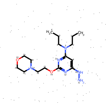 CCCN(CCC)c1cc(NN)nc(OCCN2CCOCC2)n1